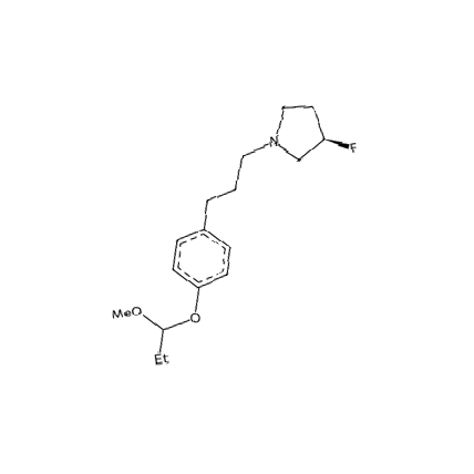 CCC(OC)Oc1ccc(CCCN2CC[C@@H](F)C2)cc1